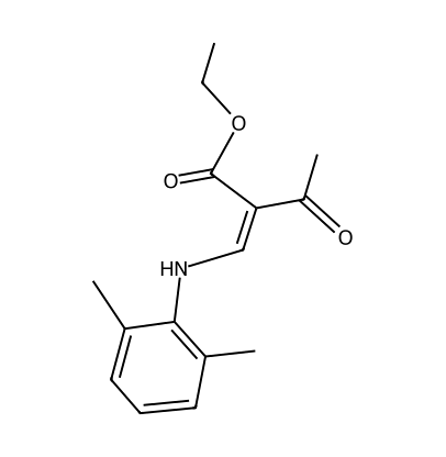 CCOC(=O)C(=CNc1c(C)cccc1C)C(C)=O